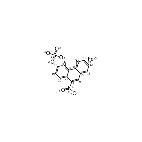 O=S(=O)([O-])[O-].O=[N+]([O-])c1cc2cccnc2c2ncccc12.[Fe+2]